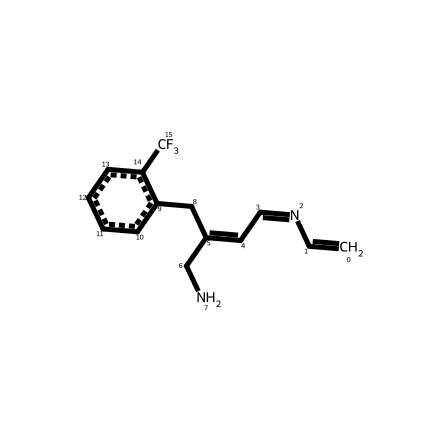 C=C/N=C\C=C(\CN)Cc1ccccc1C(F)(F)F